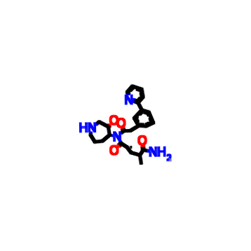 CC(C[CH]C(=O)N(C(=O)Cc1cccc(-c2ccccn2)c1)[C@H]1CCCNCC1=O)C(N)=O